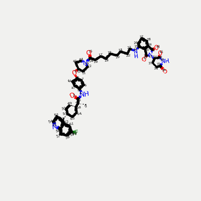 C[C@@H](C(=O)Nc1ccc(OC2CCN(C(=O)CCCCCCCCNc3cccc4c3C(=O)N(C3CCC(=O)NC3=O)C4=O)CC2)cc1)[C@H]1CC[C@@H](c2ccnc3ccc(F)cc32)CC1